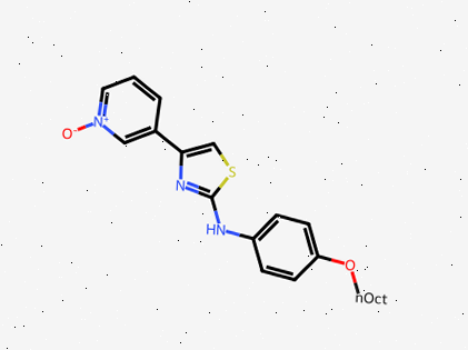 CCCCCCCCOc1ccc(Nc2nc(-c3ccc[n+]([O-])c3)cs2)cc1